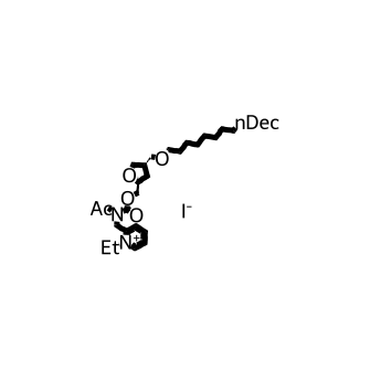 CCCCCCCCCCCCCCCCCCOC[C@H]1CO[C@H](COC(=O)N(Cc2cccc[n+]2CC)C(C)=O)C1.[I-]